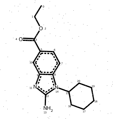 CCOC(=O)c1ccc2c(c1)nc(N)n2C1CCCCC1